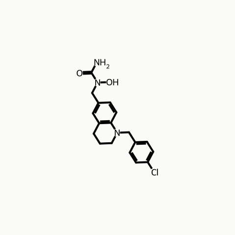 NC(=O)N(O)Cc1ccc2c(c1)CCCN2Cc1ccc(Cl)cc1